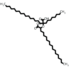 CCCCCCCCCCCCCCCCC(OC(CCCCCCCC)(CCCCCCCCCCCCCCCC)C(=O)O)C(=O)O